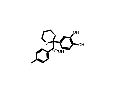 Oc1ccc(C2([C@H](O)c3ccc(I)cc3)SCCCS2)cc1O